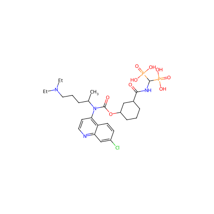 CCN(CC)CCCC(C)N(C(=O)OC1CCCC(C(=O)NC(P(=O)(O)O)P(=O)(O)O)C1)c1ccnc2cc(Cl)ccc12